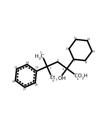 CCC(C)(CC(O)(C(=O)O)C1CCCCC1)c1ccccc1